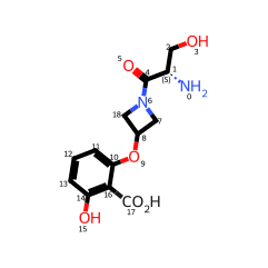 N[C@@H](CO)C(=O)N1CC(Oc2cccc(O)c2C(=O)O)C1